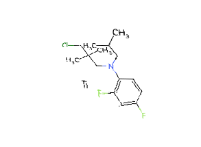 CC(C)CN(CC(C)(C)CCl)c1ccc(F)[c]c1F.[Ti]